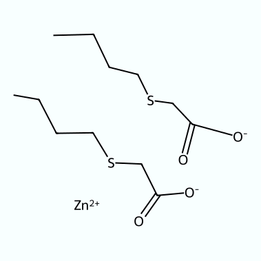 CCCCSCC(=O)[O-].CCCCSCC(=O)[O-].[Zn+2]